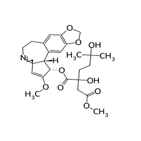 COC(=O)CC(O)(CCC(C)(C)O)C(=O)O[C@@H]1C(OC)=C[C@]23CCCN2CCc2cc4c(cc2[C@H]13)OCO4